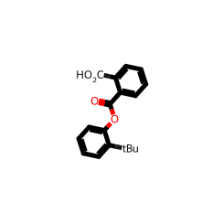 CC(C)(C)c1ccccc1OC(=O)c1ccccc1C(=O)O